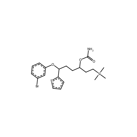 C[Si](C)(C)CCC(CCC(Oc1cccc(Br)c1)c1cccs1)OC(N)=O